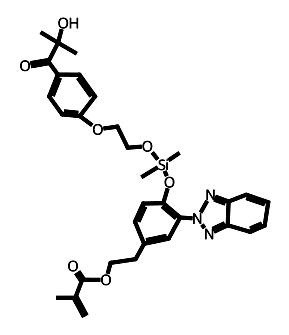 C=C(C)C(=O)OCCc1ccc(O[Si](C)(C)OCCOc2ccc(C(=O)C(C)(C)O)cc2)c(-n2nc3ccccc3n2)c1